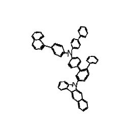 c1ccc(-c2ccc(N(c3ccc(-c4cc(-n5c6ccccc6c6cc7ccccc7cc65)ccc4-c4ccccc4)cc3)c3ccc(-c4cccc5ccccc45)cc3)cc2)cc1